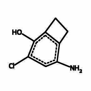 Nc1cc(Cl)c(O)c2c1CC2